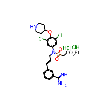 CCOC(=O)CS(=O)(=O)N(C/C=C/c1cccc(C(=N)N)c1)c1cc(Cl)c(OC2CCNCC2)c(Cl)c1.Cl.Cl